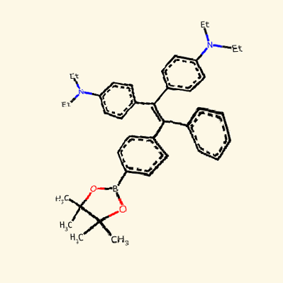 CCN(CC)c1ccc(C(=C(c2ccccc2)c2ccc(B3OC(C)(C)C(C)(C)O3)cc2)c2ccc(N(CC)CC)cc2)cc1